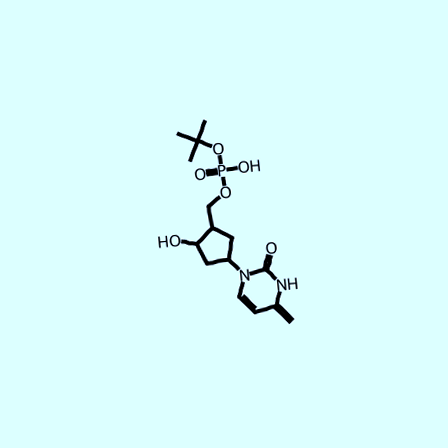 C=C1C=CN(C2CC(O)C(COP(=O)(O)OC(C)(C)C)C2)C(=O)N1